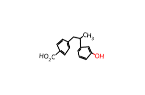 CC(Cc1ccc(C(=O)O)cc1)c1cccc(O)c1